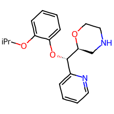 CC(C)Oc1ccccc1O[C@@H](c1ccccn1)[C@@H]1CNCCO1